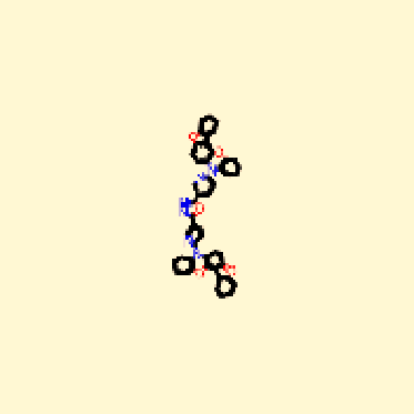 c1ccc2c(c1)Oc1c(ccc3oc4ccccc4c13)N2c1ccc(-c2nnc(-c3ccc(N4c5ccccc5Oc5c4ccc4oc6ccccc6c54)nc3)o2)cn1